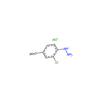 COc1ccc(NN)c(Cl)c1.Cl